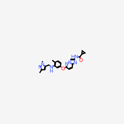 Cc1cc(CNc2cc(Oc3ccc4nc(NC(=O)C5CC5)cn4n3)ccc2C)n(C)n1